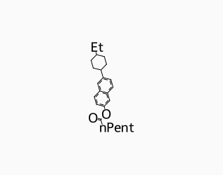 CCCCCC(=O)Oc1ccc2cc(C3CCC(CC)CC3)ccc2c1